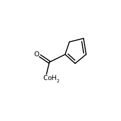 O=[C]([CoH2])C1=CC=CC1